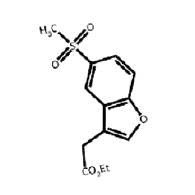 CCOC(=O)Cc1coc2ccc(S(C)(=O)=O)cc12